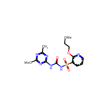 COCCOc1ncccc1S(=O)(=O)NC(=O)Nc1nc(C)nc(OC)n1